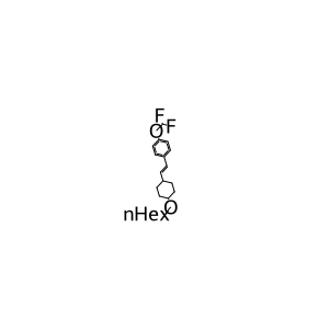 CCCCCCOC1CCC(C=Cc2ccc(OC(F)F)cc2)CC1